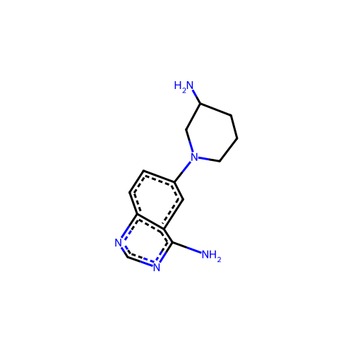 Nc1ncnc2ccc(N3CCCC(N)C3)cc12